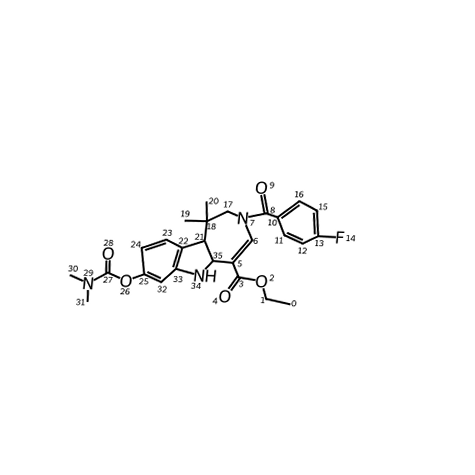 CCOC(=O)C1=CN(C(=O)c2ccc(F)cc2)CC(C)(C)C2c3ccc(OC(=O)N(C)C)cc3NC12